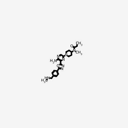 CCC(=O)N(C)C1CCN(c2cnc(N)c(-c3nnc(-c4ccc(CNC)cc4)o3)n2)CC1